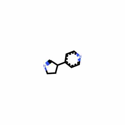 C1#[N+]CCC1c1ccncc1